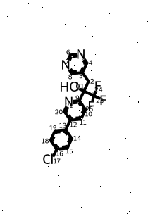 OC(Cc1cncnc1)(c1ccc(-c2ccc(Cl)cc2)cn1)C(F)(F)F